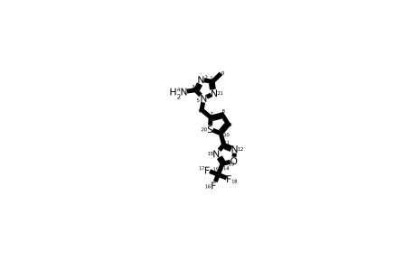 Cc1nc(N)n(Cc2ccc(-c3noc(C(F)(F)F)n3)s2)n1